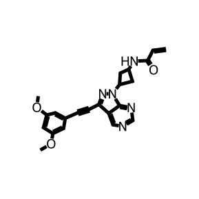 C=CC(=O)NC1CC(n2nc(C#Cc3cc(OC)cc(OC)c3)c3cncnc32)C1